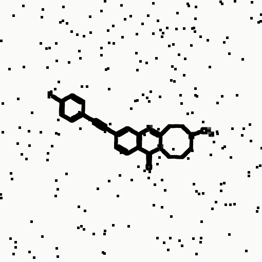 CN1CCCn2c(nc3cc(C#Cc4ccc(F)cc4)ccc3c2=O)CC1